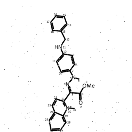 COC(=O)/C(=N\N(C)c1ccc(NCc2ccccc2)cc1)c1ccc2ccccc2[n+]1C